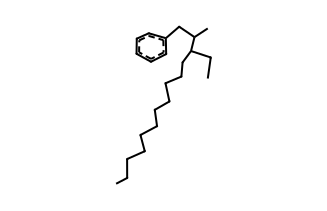 CCCCCCCCCCCC(CC)C(C)Cc1ccccc1